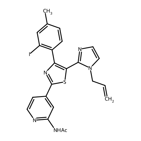 C=CCn1ccnc1-c1sc(-c2ccnc(NC(C)=O)c2)nc1-c1ccc(C)cc1I